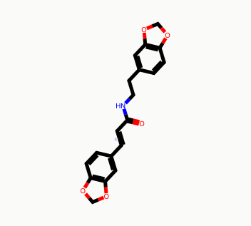 O=C(/C=C/c1ccc2c(c1)OCO2)NCCc1ccc2c(c1)OCO2